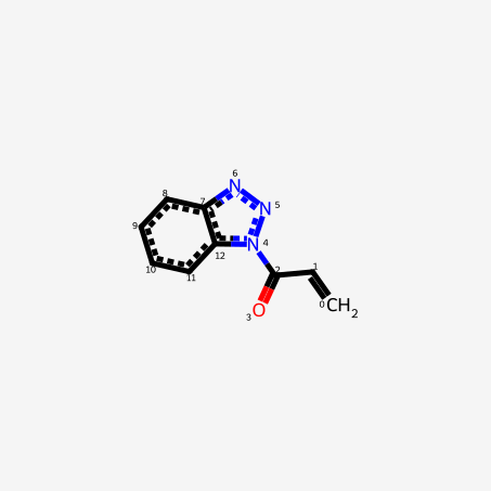 C=CC(=O)n1nnc2ccccc21